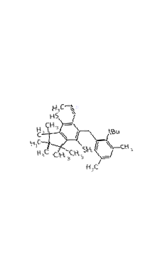 C/C=C\c1c(S)c2c(c(S)c1Cc1cc(C)cc(C)c1C(C)(C)C)C(C)(C)C(C)(C)C2(C)C